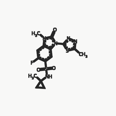 Cc1nnc(-n2c(=O)n(C)c3cc(F)c(S(=O)(=O)NC4(C)CC4)cc32)s1